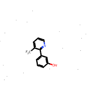 Oc1[c]ccc(-c2ncccc2C(F)(F)F)c1